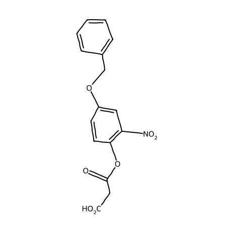 O=C(O)CC(=O)Oc1ccc(OCc2ccccc2)cc1[N+](=O)[O-]